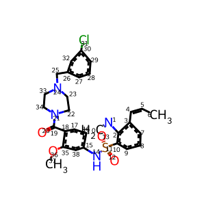 C=Nc1c(/C=C\C)cccc1S(=O)(=O)Nc1ccc(C(=O)N2CCN(Cc3cccc(Cl)c3)CC2)c(OC)c1